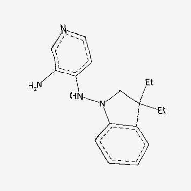 CCC1(CC)CN(Nc2ccncc2N)c2ccccc21